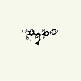 Nc1ncc(-c2cc([C@@H]3[C@@H]4C[C@H](N5CCOCC5)C[C@@H]43)n(CC3CC3)n2)cc1OC(F)(F)F